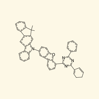 CC1(C)c2ccccc2-c2cc3c4ccccc4n(-c4ccc5oc6c(-c7nc(C8=CCCC=C8)nc(-c8ccccc8)n7)cccc6c5c4)c3cc21